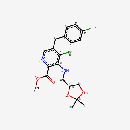 CC(C)OC(=O)c1ncc(Cc2ccc(F)cc2)c(Br)c1NC[C@H]1COC(C)(C)O1